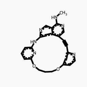 CNc1ncc2c3cc(ncc13)Nc1cccc(n1)OCCCOc1ccnc(c1)C#C2